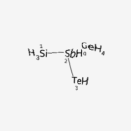 [GeH4].[SiH3][SbH][TeH]